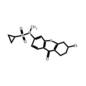 CCC1CCc2c(sc3cc(N(C)S(=O)(=O)C4CC4)ccc3c2=O)C1